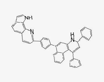 C1=C(c2ccccc2)c2c(cc(-c3ccc(-c4ccc5ccc6cc[nH]c6c5n4)cc3)c3ccccc23)NC1c1ccccc1